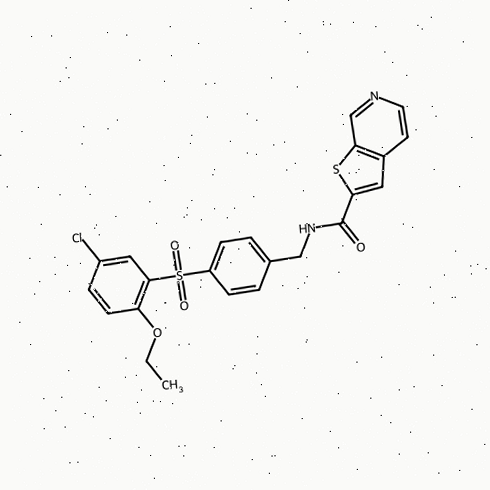 CCOc1ccc(Cl)cc1S(=O)(=O)c1ccc(CNC(=O)c2cc3ccncc3s2)cc1